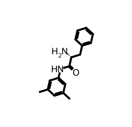 Cc1cc(C)cc(NC(=O)[C@H](N)Cc2ccccc2)c1